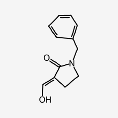 O=C1/C(=C/O)CCN1Cc1ccccc1